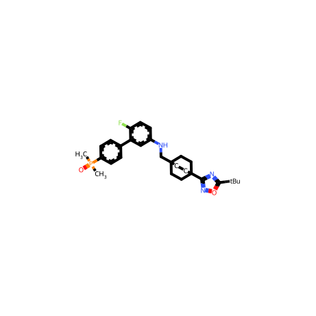 CC(C)(C)c1nc(C23CCC(CNc4ccc(F)c(-c5ccc(P(C)(C)=O)cc5)c4)(CC2)CC3)no1